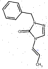 C/C=C/n1cnn(Cc2ccccc2)c1=O